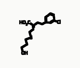 O=C(O)N(CCSCCCO)CCc1cccc(Cl)c1